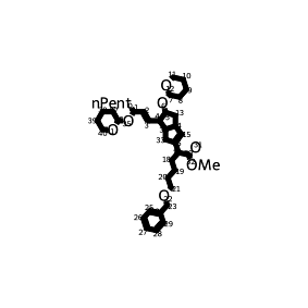 CCCCCC(C=CC1C(OC2CCCCO2)CC2C=C(C(CCCCOCc3ccccc3)C(=O)OC)CC21)OC1CCCCO1